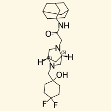 O=C(CN1C[C@@H]2C[C@H]1CN2CC1(O)CCC(F)(F)CC1)NC12CC3CC(CC(C3)C1)C2